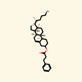 CC(C)CCC[C@@H](C)[C@H]1CC[C@H]2[C@@H]3CC=C4CC(OC(=O)CCc5ccccc5)CC[C@]4(C)[C@H]3CC[C@]12C